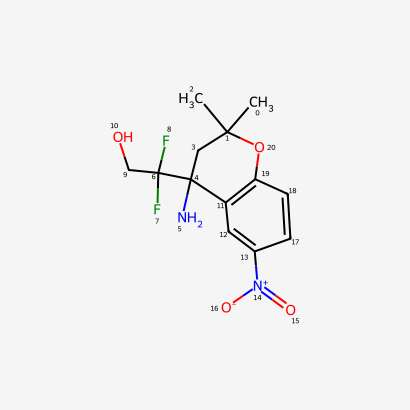 CC1(C)CC(N)(C(F)(F)CO)c2cc([N+](=O)[O-])ccc2O1